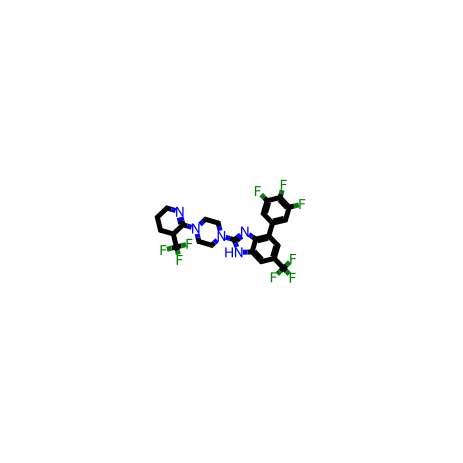 Fc1cc(-c2cc(C(F)(F)F)cc3[nH]c(N4CCN(C5=NCCCC5C(F)(F)F)CC4)nc23)cc(F)c1F